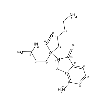 NCCCCC1(N2Cc3c(N)cccc3C2=O)CCC(=O)NC1=O